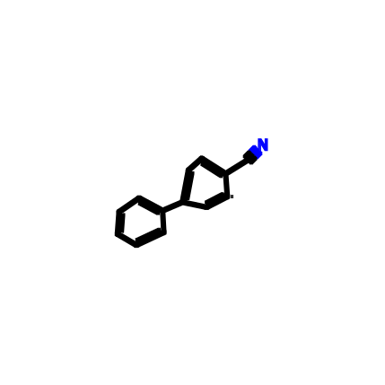 N#Cc1[c]cc(-c2ccccc2)cc1